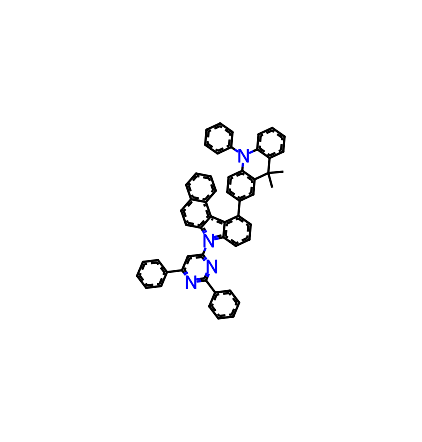 CC1(C)c2ccccc2N(c2ccccc2)c2ccc(-c3cccc4c3c3c5ccccc5ccc3n4-c3cc(-c4ccccc4)nc(-c4ccccc4)n3)cc21